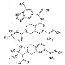 CC(C)(C)C(C(=O)O)N1CCc2ccc(C(N)=NO)cc2C1.CC(C)(C)OC(=O)N1CCc2ccc(C(N)=NO)cc2C1.Cc1cc(C(N)=NO)cc2nc[nH]c12